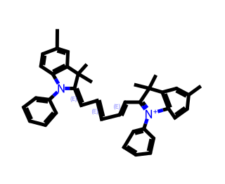 Cc1ccc2c(c1)C(C)(C)C(/C=C/C=C/C=C1/N(c3ccccc3)c3ccc(C)cc3C1(C)C)=[N+]2c1ccccc1